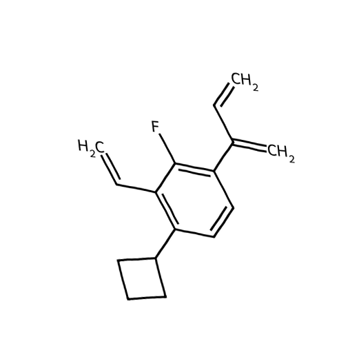 C=CC(=C)c1ccc(C2CCC2)c(C=C)c1F